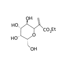 C=C(C(=O)OCC)C1O[C@H](CO)[C@H](O)[C@H](O)[C@H]1O